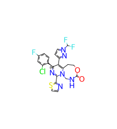 O=C1NCN2C(c3nccs3)=N[C@@H](c3ccc(F)cc3Cl)C(c3ccn(C(F)F)n3)=C2CCO1